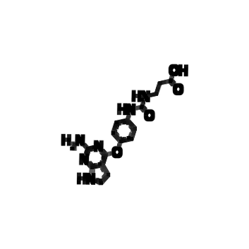 Nc1nc(Oc2ccc(NC(=O)NCCC(=O)O)cc2)c2cc[nH]c2n1